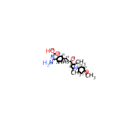 COc1ccc(-n2c(C)cc(C(=O)[AsH]Cc3ccc(/C(N)=N\C(=O)O)cc3)c2C)cc1